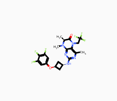 Cc1nc(N[C@H]2C[C@H](Oc3cc(F)c(F)c(F)c3)C2)nc2c1N(CC(F)(F)F)C(=O)[C@H](C)N2C